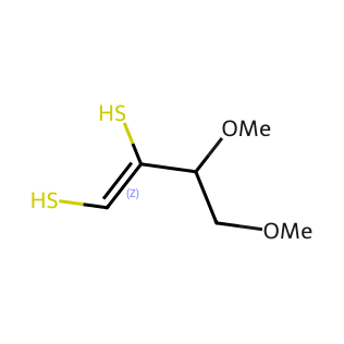 COCC(OC)/C(S)=C/S